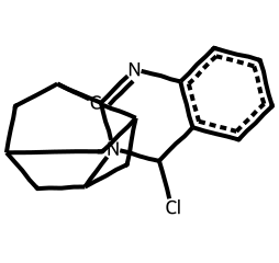 ClC1c2ccccc2N=C2C3CC4CC(C3)CC(C4)N21